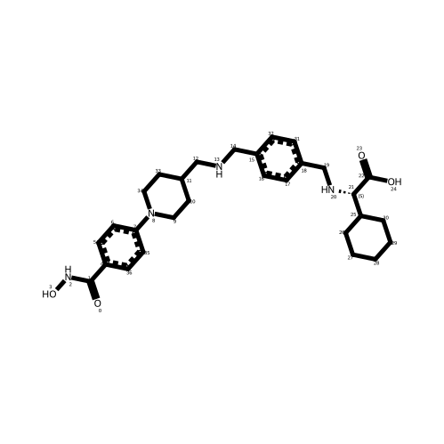 O=C(NO)c1ccc(N2CCC(CNCc3ccc(CN[C@H](C(=O)O)C4CCCCC4)cc3)CC2)cc1